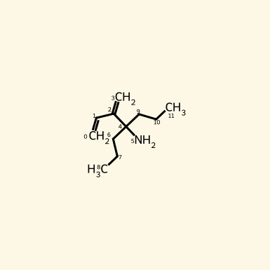 C=CC(=C)C(N)(CCC)CCC